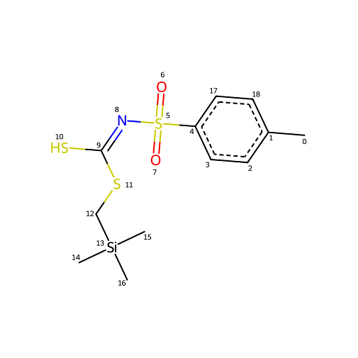 Cc1ccc(S(=O)(=O)N=C(S)SC[Si](C)(C)C)cc1